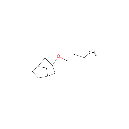 CCCCOC1CC2CCC(C2)C1